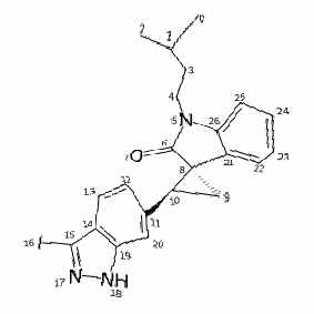 CC(C)CCN1C(=O)[C@@]2(C[C@H]2c2ccc3c(I)n[nH]c3c2)c2ccccc21